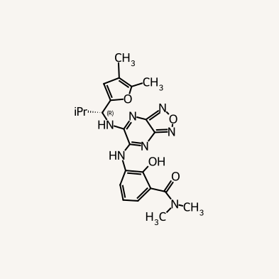 Cc1cc([C@H](Nc2nc3nonc3nc2Nc2cccc(C(=O)N(C)C)c2O)C(C)C)oc1C